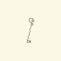 N#CCCCCCCCCCOC1CCCCO1